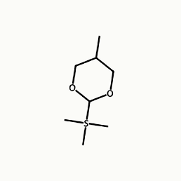 CC1COC(S(C)(C)C)OC1